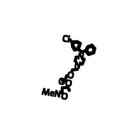 CNC(=O)CC(C)OC(=O)COCCN1CCN(C(c2ccccc2)c2ccc(Cl)cc2)CC1